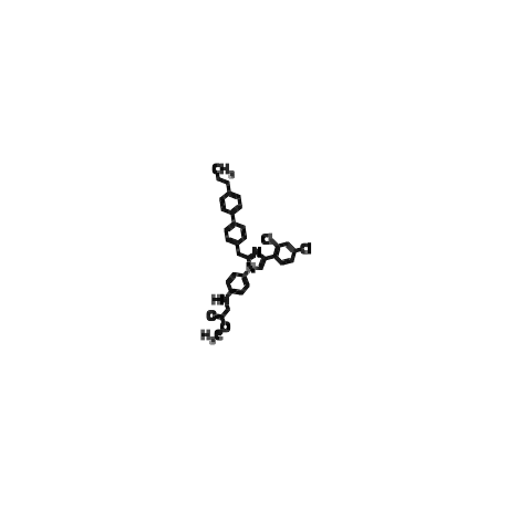 CCCc1ccc(-c2ccc(Cc3nc(-c4ccc(Cl)cc4Cl)cn3-c3ccc(NCC(=O)OC)cc3)cc2)cc1